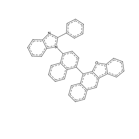 c1ccc(-c2nc3ccccc3n2-c2ccc(-c3c4ccccc4cc4c3oc3ccccc34)c3ccccc23)cc1